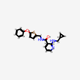 O=C(NCc1ccc(Oc2ccccc2)s1)c1cccnc1NCC1CC1